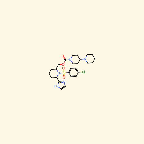 O=C(OCC1CCCC(c2ncc[nH]2)N1S(=O)(=O)c1ccc(Cl)cc1)N1CCC(N2CCCCC2)CC1